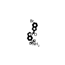 NS(=O)(=O)c1ccc2c(c1)N(C(=O)C1Cc3ccc(Br)cc3C1)CC2